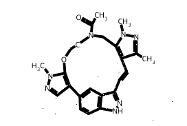 CC(=O)N1CCOc2c(cnn2C)-c2ccc3[nH]nc(c3c2)/C=C/c2c(C)nn(C)c2C1